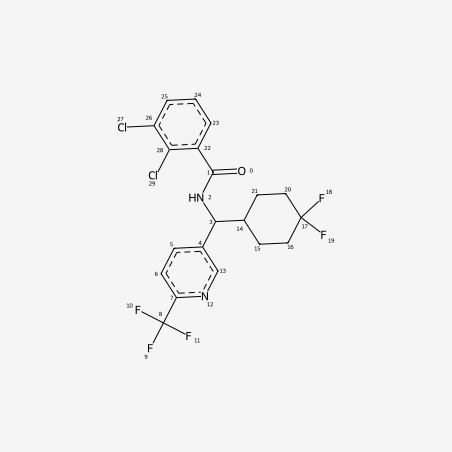 O=C(NC(c1ccc(C(F)(F)F)nc1)C1CCC(F)(F)CC1)c1cccc(Cl)c1Cl